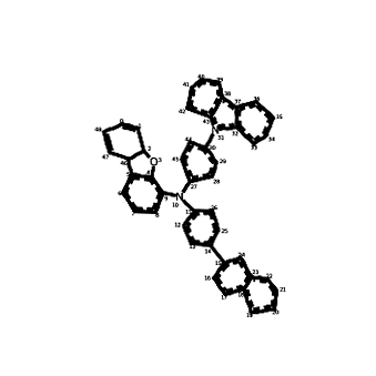 C1=CC2Oc3c(cccc3N(c3ccc(-c4ccc5ccccc5c4)cc3)c3ccc(-n4c5ccccc5c5ccccc54)cc3)C2C=C1